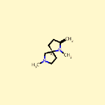 C=C1CC[C@]2(CCN(C)C2)N1C